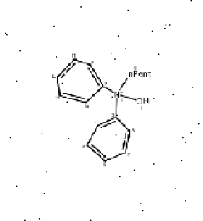 CCCCC[N+](O)(c1ccccc1)c1ccccc1